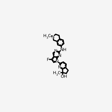 CN1CCc2ccc(Nc3ncc4c(F)cn(-c5ccc6c(n5)C(C)(O)CC6)c4n3)cc2C1